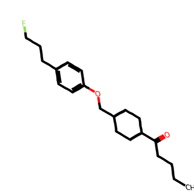 CCCCC(=O)C1CCC(COc2ccc(CCCF)cc2)CC1